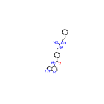 N=C(NCCc1ccccc1)NCc1ccc(C(=O)Nc2ccnc3[nH]ccc23)cc1